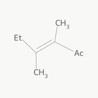 CCC(C)=C(C)C(C)=O